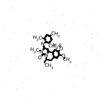 CCC1Cc2cc(OC)c(OC)cc2-c2cc(=Nc3c(C)cc(C)cc3C)n(C)c(=O)n21